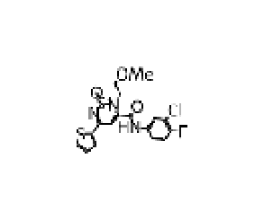 COCCN1C(C(=O)Nc2ccc(F)c(Cl)c2)=CC(c2cccs2)=N[S+]1[O-]